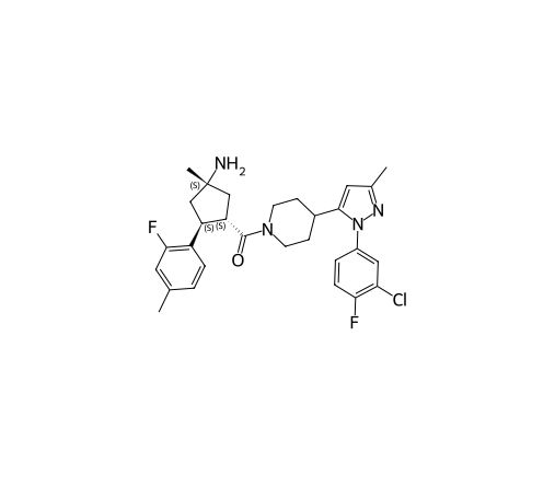 Cc1ccc([C@H]2C[C@](C)(N)C[C@@H]2C(=O)N2CCC(c3cc(C)nn3-c3ccc(F)c(Cl)c3)CC2)c(F)c1